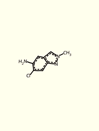 Cn1cc2cc(N)c(Cl)cc2n1